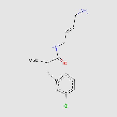 COC(Cc1cccc(Cl)c1)C(=O)NC/C=C/CN